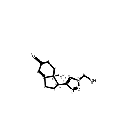 C[C@]12CCC(=O)C=C1CC[C@@H]2c1cn(CO)nn1